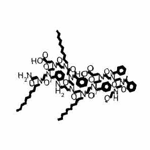 CCCCCCCCCCN(CC(N)=O)C(=O)CN(C(=O)CN(CCC(=O)O)C(=O)CN(CCCCCCCCCC)C(=O)CN(C(=O)CN(CCCN)C(=O)CN(CCCCCCCCCC)C(=O)CN(C(=O)CN(CCC(=O)O)C(=O)CN(C(=O)CN(C(=O)CNCCOC)[C@@H](C)c1ccccc1)[C@@H](C)c1ccccc1)[C@@H](C)c1ccccc1)[C@@H](C)c1ccccc1)[C@@H](C)c1ccccc1